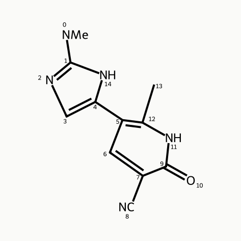 CNc1ncc(-c2cc(C#N)c(=O)[nH]c2C)[nH]1